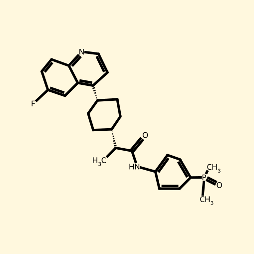 CC(C(=O)Nc1ccc(P(C)(C)=O)cc1)[C@H]1CC[C@@H](c2ccnc3ccc(F)cc32)CC1